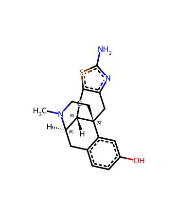 CN1CC[C@]23Cc4nc(N)sc4C[C@H]2[C@H]1Cc1ccc(O)cc13